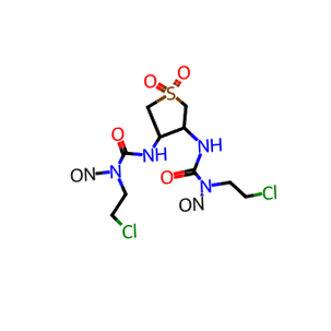 O=NN(CCCl)C(=O)NC1CS(=O)(=O)CC1NC(=O)N(CCCl)N=O